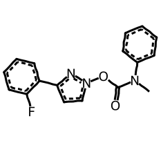 CN(C(=O)On1ccc(-c2ccccc2F)n1)c1ccccc1